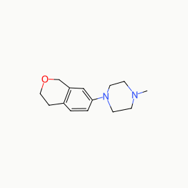 CN1CCN(c2ccc3c(c2)COCC3)CC1